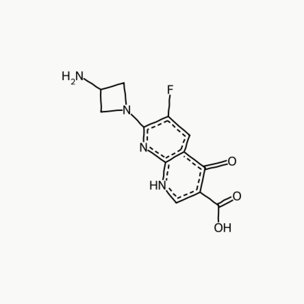 NC1CN(c2nc3[nH]cc(C(=O)O)c(=O)c3cc2F)C1